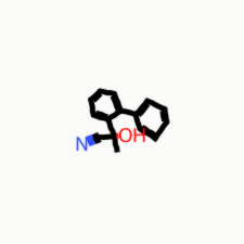 CC(O)(C#N)c1ccccc1-c1ccccc1